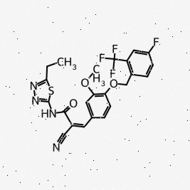 CCc1nnc(NC(=O)C(C#N)=Cc2ccc(OCc3ccc(F)cc3C(F)(F)F)c(OC)c2)s1